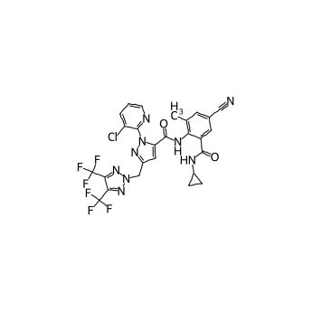 Cc1cc(C#N)cc(C(=O)NC2CC2)c1NC(=O)c1cc(Cn2nc(C(F)(F)F)c(C(F)(F)F)n2)nn1-c1ncccc1Cl